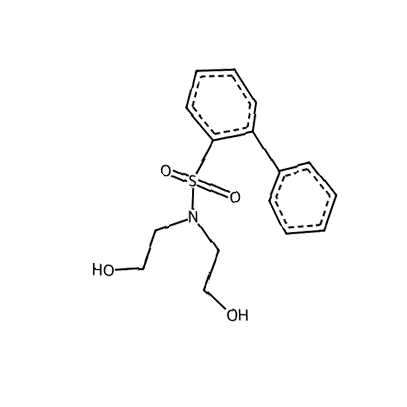 O=S(=O)(c1ccccc1-c1ccccc1)N(CCO)CCO